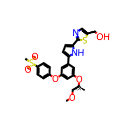 COC[C@H](C)Oc1cc(Oc2ccc(S(C)(=O)=O)cc2)cc(-c2ccc(-c3ncc(CO)s3)[nH]2)c1